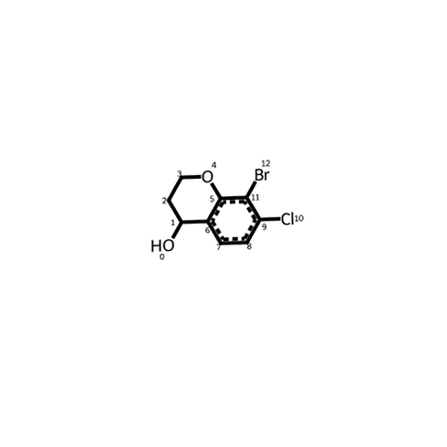 OC1CCOc2c1ccc(Cl)c2Br